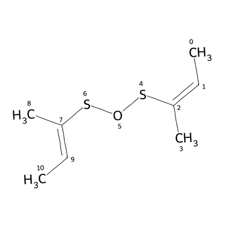 CC=C(C)SOSC(C)=CC